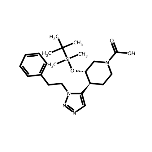 CC(C)(C)[Si](C)(C)O[C@@H]1CN(C(=O)O)CC[C@H]1c1cnnn1CCc1ccccc1